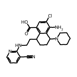 N#Cc1cccnc1NCCC1CCC(N2CCCCC2)c2c(N)c(Cl)cc(C(=O)O)c21